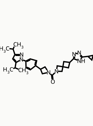 CC(C)c1cc(C(C)C)n(-c2ccc(C3CN(C(=O)N4CC5(CC(c6nnc(C7CC7)[nH]6)C5)C4)C3)cc2)n1